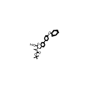 CN(C(=O)OC(C)(C)C)[C@H](Cc1ccc(-c2ccc(Oc3ccccc3)cc2)cc1)C(=O)O